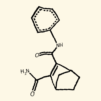 NC(=O)C1=C(C(=O)Nc2ccccc2)C2CCC1C2